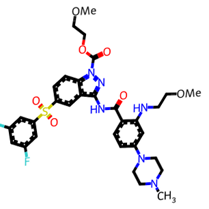 COCCNc1cc(N2CCN(C)CC2)ccc1C(=O)Nc1nn(C(=O)OCCOC)c2ccc(S(=O)(=O)c3cc(F)cc(F)c3)cc12